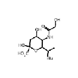 CCC(C)C(C)C1O[C@@](O)(C(=O)O)CC(O)[C@H]1NC(=O)CO